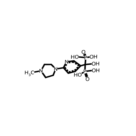 CN1CCN(c2ccc(C(O)(P(=O)(O)O)P(=O)(O)O)cn2)CC1